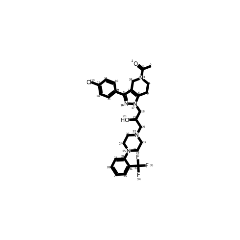 CC(=O)N1CCc2c(c(-c3ccc(Cl)cc3)nn2CC(O)CN2CCN(c3ccccc3C(F)(F)F)CC2)C1